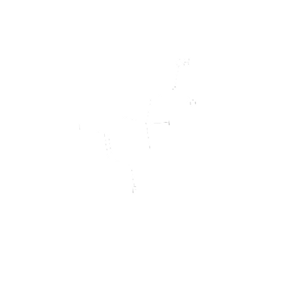 O=C(O)CC1(F)C=C(F)C=C(F)C1